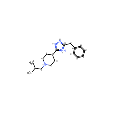 C[C](C)CN1CCC(c2nnc(Cc3ccccc3)[nH]2)CC1